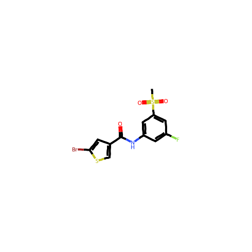 CS(=O)(=O)c1cc(F)cc(NC(=O)c2csc(Br)c2)c1